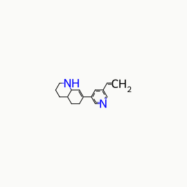 C=Cc1cncc(C2=CC3NCCCC3CC2)c1